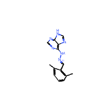 Cc1cccc(C)c1/C=N/Nc1ncnc2[nH]cnc12